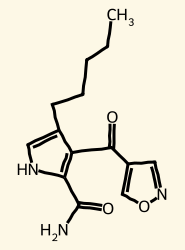 CCCCCc1c[nH]c(C(N)=O)c1C(=O)c1cnoc1